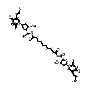 O=C(CCCCCCCCC(=O)OC(O)[C@H]1O[C@@H](n2cc(/C=C/Br)c(=O)[nH]c2=O)C[C@@H]1O)OC(O)[C@H]1O[C@@H](n2cc(/C=C/Br)c(=O)[nH]c2=O)C[C@@H]1O